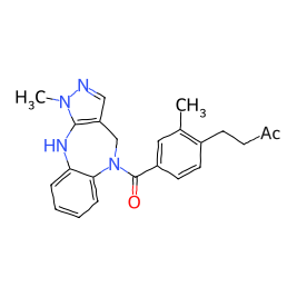 CC(=O)CCc1ccc(C(=O)N2Cc3cnn(C)c3Nc3ccccc32)cc1C